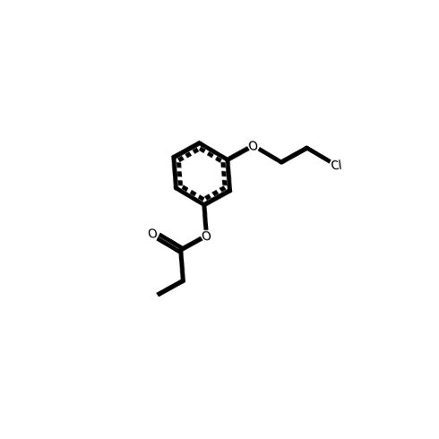 CCC(=O)Oc1cccc(OCCCl)c1